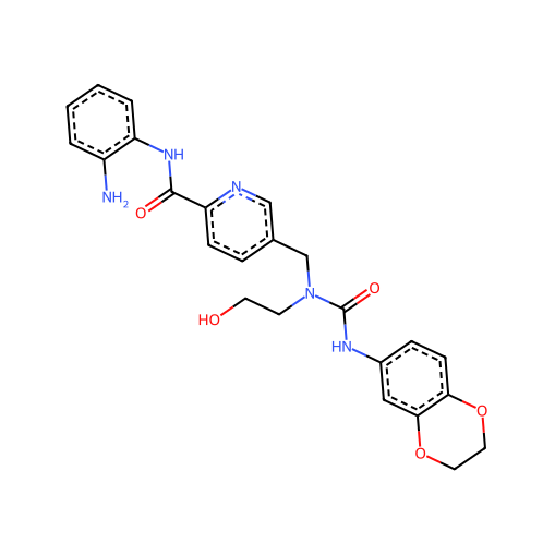 Nc1ccccc1NC(=O)c1ccc(CN(CCO)C(=O)Nc2ccc3c(c2)OCCO3)cn1